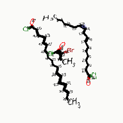 CCC(Br)C(=O)Cl.CCCCCC/C=C\CCCCCCCCCC(=O)Cl.CCCCCCCCCCCCCCCCCCCC(=O)Cl